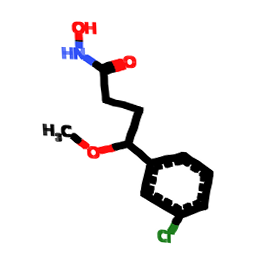 COC(CCC(=O)NO)c1cccc(Cl)c1